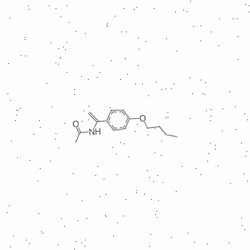 C=C(NC(C)=O)c1ccc(OCCCC)cc1